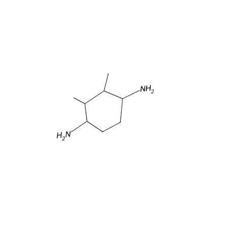 CC1C(N)CCC(N)C1C